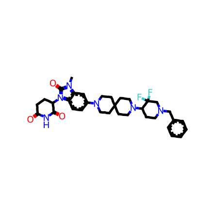 Cn1c(=O)n(C2CCC(=O)NC2=O)c2ccc(N3CCC4(CC3)CCN(C3CCN(Cc5ccccc5)CC3(F)F)CC4)cc21